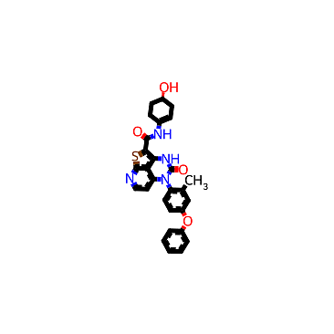 Cc1cc(Oc2ccccc2)ccc1N1C(=O)Nc2c(C(=O)NC3=CC[C@H](O)CC3)sc3nccc1c23